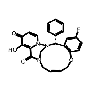 O=C1c2c(O)c(=O)ccn2N2CN1C/C=C\COc1ccc(F)cc1[C@H]2c1ccccc1